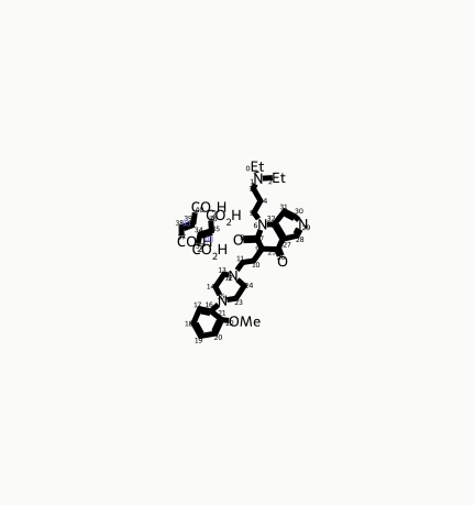 CCN(CC)CCCN1C(=O)C(CCN2CCN(c3ccccc3OC)CC2)C(=O)c2cnccc21.O=C(O)/C=C/C(=O)O.O=C(O)/C=C/C(=O)O